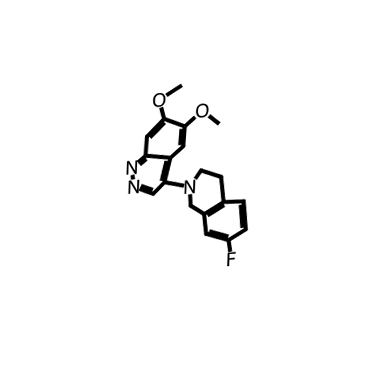 COc1cc2nncc(N3CCc4ccc(F)cc4C3)c2cc1OC